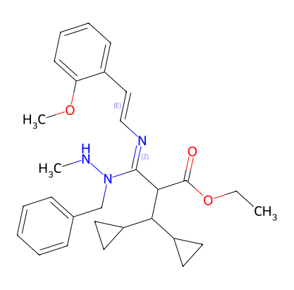 CCOC(=O)C(/C(=N/C=C/c1ccccc1OC)N(Cc1ccccc1)NC)C(C1CC1)C1CC1